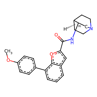 COc1ccc(-c2cccc3cc(C(=O)N[C@@H]4CN5CCC4CC5)oc23)cc1